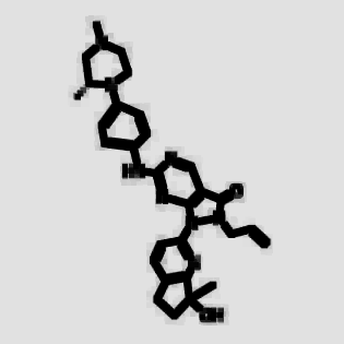 C=CCn1c(=O)c2cnc(Nc3ccc(N4CCN(C)C[C@H]4C)cc3)nc2n1-c1ccc2c(n1)C(C)(O)CC2